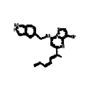 C=C/C=C\C=C(/C)c1cc(NCc2ccc3[nH]ncc3c2)n2ncc(Br)c2n1